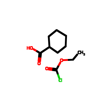 CCOC(=O)Cl.O=C(O)C1CCCCC1